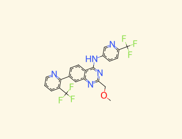 COCc1nc(Nc2ccc(C(F)(F)F)nc2)c2ccc(-c3ncccc3C(F)(F)F)cc2n1